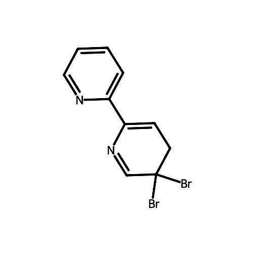 BrC1(Br)C=NC(c2ccccn2)=CC1